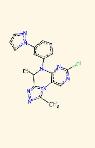 CCC1c2nnc(C)n2-c2cnc(Cl)nc2N1c1cccc(-n2cccn2)c1